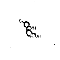 OCC1NCCc2c1[nH]c1ccc(Cl)cc21